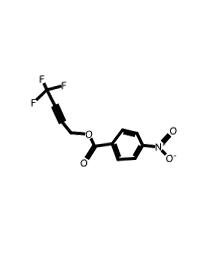 O=C(OCC#CC(F)(F)F)c1ccc([N+](=O)[O-])cc1